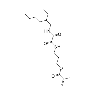 C=C(C)C(=O)OCCCNC(=O)C(=O)NCC(CC)CCCC